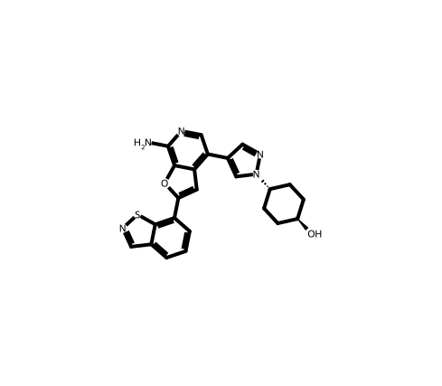 Nc1ncc(-c2cnn([C@H]3CC[C@H](O)CC3)c2)c2cc(-c3cccc4cnsc34)oc12